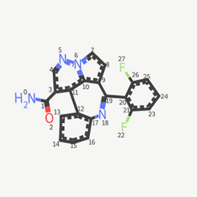 NC(=O)c1cnn2ccc3c2c1-c1ccccc1N=C3c1c(F)cccc1F